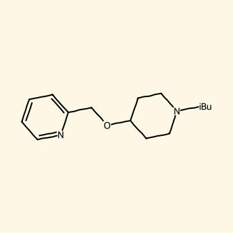 CCC(C)N1CCC(OCc2ccccn2)CC1